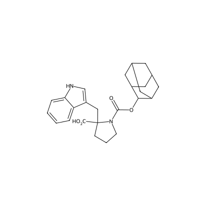 O=C(OC1C2CC3CC(C2)CC1C3)N1CCCC1(Cc1c[nH]c2ccccc12)C(=O)O